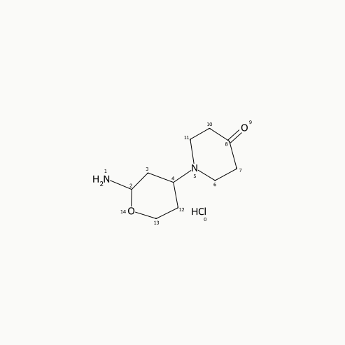 Cl.NC1CC(N2CCC(=O)CC2)CCO1